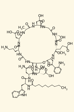 CCCCCCCCCC(=O)N[C@@H](Cc1c[nH]c2ccccc12)C(=O)N[C@@H](CC(N)=O)C(=O)N[C@@H](CC(=O)O)C(=O)N[C@H]1C(=O)NCC(=O)N[C@@H](CCCN)C(=O)N[C@@H](CC(=O)O)C(=O)N[C@H](C)C(=O)N[C@@H](CC(=O)O)C(=O)NCC(=O)N[C@H](CO)C(=O)N[C@H]([C@@H](C)CC(=O)O)C(=O)N[C@@H](CC(=O)c2ccccc2N)C(=O)O[C@@H]1C